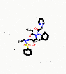 CC(C)CN(C[C@@H](O)[C@H](Cc1ccccc1)N(NC(=O)CN1CCCC1)C(=O)CC(C)(C)C)S(=O)(=O)c1ccccc1